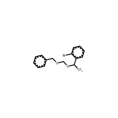 FC(F)(F)C(OCOCc1ccccc1)c1ccccc1Br